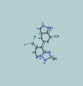 CCc1nc2c(-c3cc(Cl)c4[nH]ncc4c3)c(C(F)F)ccn2n1